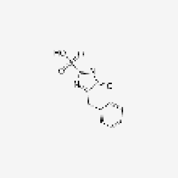 O=C1N=C(S(=O)(=O)O)N=C1Cc1ccccc1